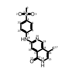 CS(=O)(=O)c1ccc(Nc2cc3c(=O)[nH]cc(F)c3cn2)cc1